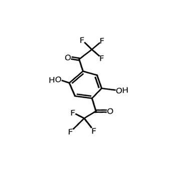 O=C(c1cc(O)c(C(=O)C(F)(F)F)cc1O)C(F)(F)F